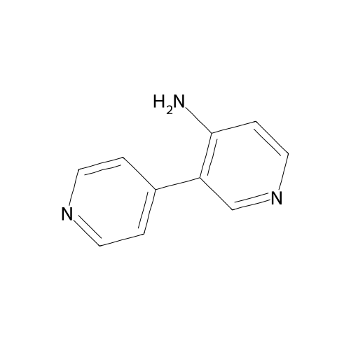 Nc1ccncc1-c1ccncc1